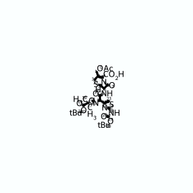 CC(=O)OCC1=C(C(=O)O)N2C(=O)[C@@H](NC(=O)/C(=N\OC(C)(C)C(=O)OC(C)(C)C)c3csc(NC(=O)OC(C)(C)C)n3)[C@H]2SC1